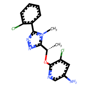 C[C@H](Oc1ncc(N)cc1Cl)c1nnc(-c2ccccc2Cl)n1C